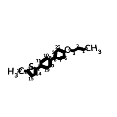 CC=CCOc1ccc(-c2ccc(-c3ccc(C)s3)cc2)cc1